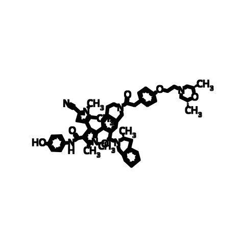 Cc1c(-c2c(C(=O)Nc3ccc(O)cc3)c(C)n(C)c2-c2cc3c(cc2C(=O)N2Cc4ccccc4C[C@H]2C)CN(C(=O)Cc2ccc(OCCN4C[C@@H](C)O[C@@H](C)C4)cc2)CC3)cc(C#N)n1C